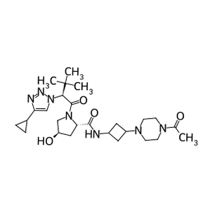 CC(=O)N1CCN(C2CC(NC(=O)[C@@H]3C[C@@H](O)CN3C(=O)[C@@H](n3cc(C4CC4)nn3)C(C)(C)C)C2)CC1